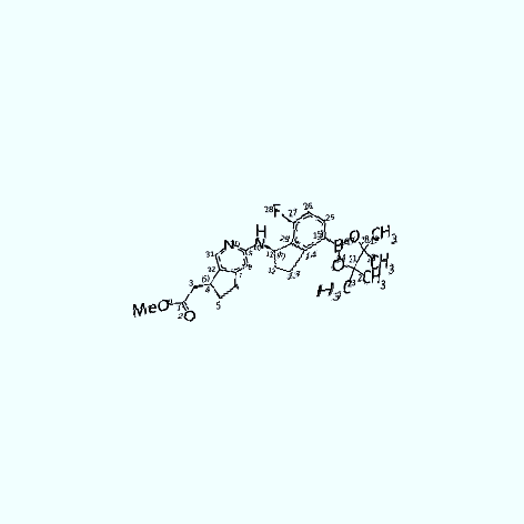 COC(=O)C[C@@H]1CCc2cc(N[C@@H]3CCc4c(B5OC(C)(C)C(C)(C)O5)ccc(F)c43)ncc21